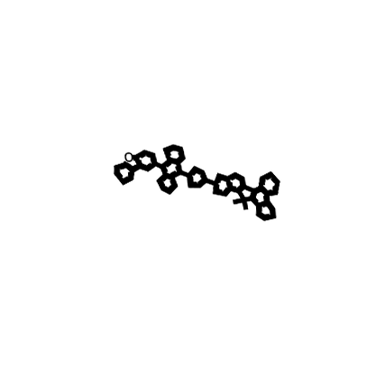 CC1(C)c2c(ccc3cc(-c4ccc(-c5c6ccccc6c(-c6ccc7oc8ccccc8c7c6)c6ccccc56)cc4)ccc23)-c2c1c1ccccc1c1ccccc21